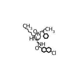 CCCCCC[C@@H]1N[C@H](CNC(=O)c2ccc3cc(Cl)ccc3c2)CCN(C[C@@H](CC)c2ccccc2)C1=O